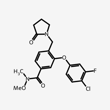 CON(C)C(=O)c1ccc(CN2CCCC2=O)c(Oc2ccc(Cl)c(F)c2)c1